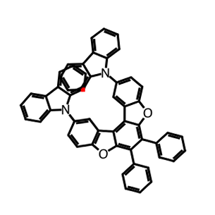 c1ccc(-c2c(-c3ccccc3)c3oc4ccc(-n5c6ccccc6c6ccccc65)cc4c3c3c2oc2ccc(-n4c5ccccc5c5ccccc54)cc23)cc1